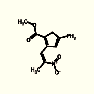 COC(=O)C1=C(/C=C(/C)[N+](=O)[O-])C=C(P)C1